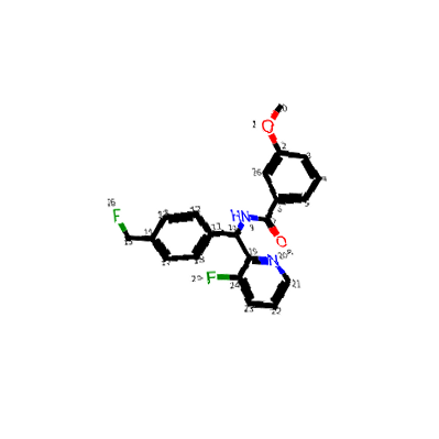 COc1cccc(C(=O)NC(c2ccc(CF)cc2)c2ncccc2F)c1